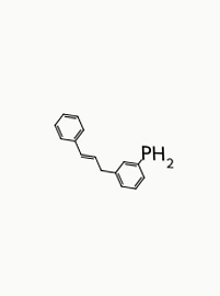 Pc1cccc(CC=Cc2ccccc2)c1